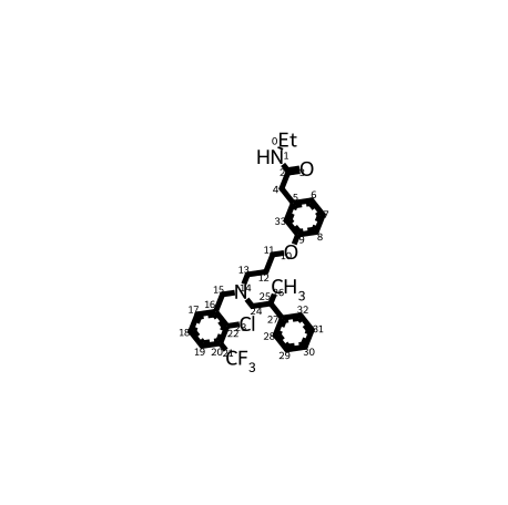 CCNC(=O)Cc1cccc(OCCCN(Cc2cccc(C(F)(F)F)c2Cl)CC(C)c2ccccc2)c1